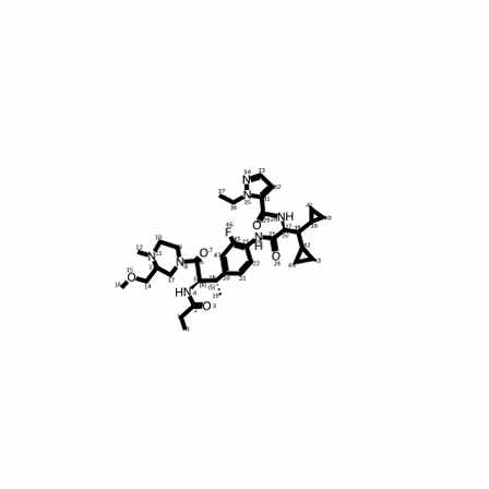 CCC(=O)N[C@@H](C(=O)N1CCN(C)C(COC)C1)[C@@H](C)c1ccc(NC(=O)[C@@H](NC(=O)c2ccnn2CC)C(C2CC2)C2CC2)c(F)c1